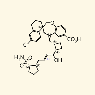 NS(=O)(=O)[C@H]1CCC[C@@H]1C/C=C/C(O)[C@@H]1CC[C@H]1CN1C[C@@]2(CCCc3cc(Cl)ccc32)COc2ccc(C(=O)O)cc21